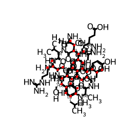 CC(C)C[C@H](NC(=O)[C@H](CO)NC(=O)[C@H](CCC(N)=O)NC(=O)[C@H](Cc1ccc(O)cc1)NC(=O)[C@H](CC(C)C)NC(=O)[C@@H](N)CCC(=O)O)C(=O)N[C@@H](C)C(=O)N[C@@H](CC(=O)O)C(=O)N[C@@H](CC(C)C)C(=O)N[C@@H](CC(N)=O)C(=O)N[C@@H](CC(N)=O)C(=O)N[C@H](C(=O)N[C@@H](CCCNC(=N)N)C(=O)N[C@@H](Cc1ccccc1)C(=O)N[C@@H](CO)C(=O)O)C(C)C